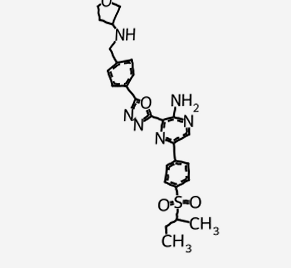 CCC(C)S(=O)(=O)c1ccc(-c2cnc(N)c(-c3nnc(-c4ccc(CNC5CCOC5)cc4)o3)n2)cc1